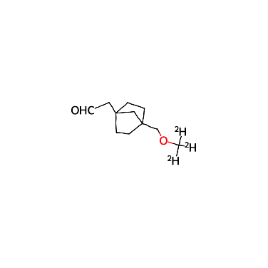 [2H]C([2H])([2H])OCC12CCC(CC=O)(CC1)C2